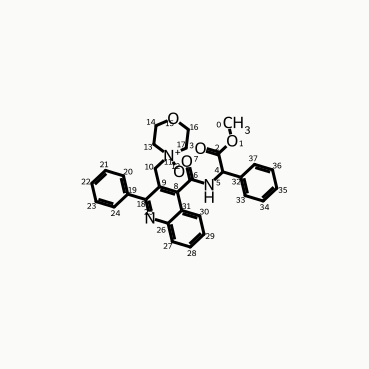 COC(=O)C(NC(=O)c1c(C[N+]2([O-])CCOCC2)c(-c2ccccc2)nc2ccccc12)c1ccccc1